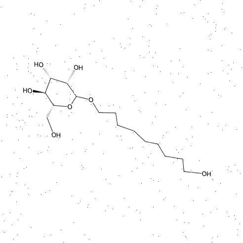 OCCCCCCCCCOC1O[C@H](CO)[C@@H](O)[C@H](O)[C@@H]1O